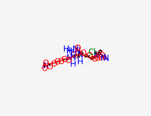 CC(C)[C@H](CCC(=O)NCCNC(=O)CCOCCOCCOCCOCCCC(=O)CCN1C(=O)C=CC1=O)C(=O)N[C@@H](CCCNC(N)=O)C(=O)Cc1ccc(C(=O)Cc2ccc3oc(C(=O)N4C[C@@H](CCl)c5c4cc(OC(=O)N4CCN(C)CC4)c4ccccc54)cc3c2)cc1